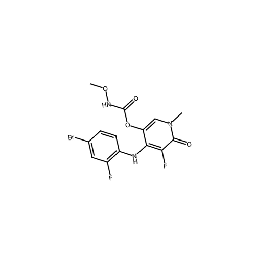 CONC(=O)Oc1cn(C)c(=O)c(F)c1Nc1ccc(Br)cc1F